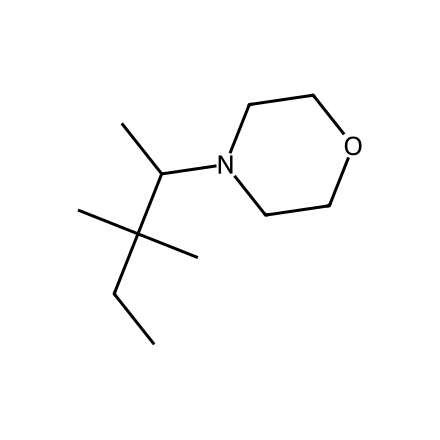 CCC(C)(C)C(C)N1CCOCC1